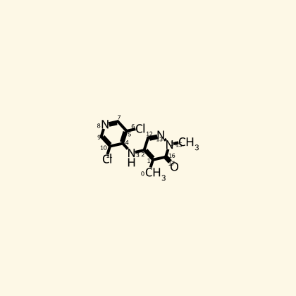 Cc1c(Nc2c(Cl)cncc2Cl)cnn(C)c1=O